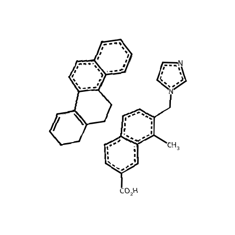 C1=CC2=C(CC1)CCc1c2ccc2ccccc12.Cc1c(Cn2ccnc2)ccc2ccc(C(=O)O)cc12